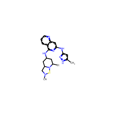 CCC1CC(Nc2nc(Nc3cc(C)[nH]n3)cc3ncccc23)CC2CN(C#N)SN12